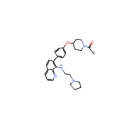 CCC(=O)N1CCC(Oc2ccc(-c3ccc4cccnc4c3NCCN3CCCC3)cc2)CC1